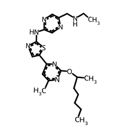 CCCCCC(C)Oc1nc(C)cc(-c2cnc(Nc3cnc(CNCC)cn3)s2)n1